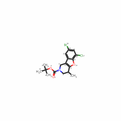 CC1CN(C(=O)OC(C)(C)C)Cc2c1oc1c(Cl)cc(Br)cc21